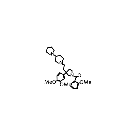 COc1ccc(C2(CCN3CCC(N4CCCCC4)CC3)CCN(C(=O)c3ccccc3OC)C2)cc1OC